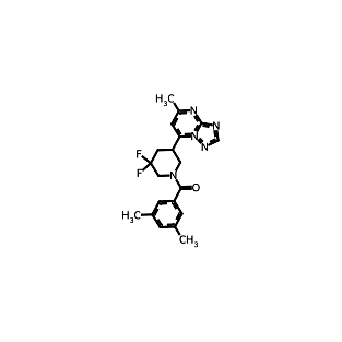 Cc1cc(C)cc(C(=O)N2CC(c3cc(C)nc4ncnn34)CC(F)(F)C2)c1